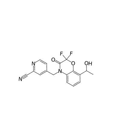 CC(O)c1cccc2c1OC(F)(F)C(=O)N2Cc1ccnc(C#N)c1